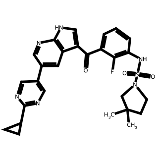 CC1(C)CCN(S(=O)(=O)Nc2cccc(C(=O)c3c[nH]c4ncc(-c5cnc(C6CC6)nc5)cc34)c2F)C1